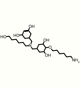 NCCCCCCOC1C(O)CC(CN(CCCCCCO)CC2CC(O)=CC(O)C2)CC1O